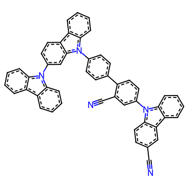 N#Cc1ccc2c(c1)c1ccccc1n2-c1ccc(-c2ccc(-n3c4ccccc4c4ccc(-n5c6ccccc6c6ccccc65)cc43)cc2)c(C#N)c1